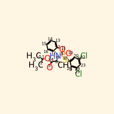 CC(C)OC(=O)[C@H](C)N[P@](=O)(Oc1ccccc1)Sc1cc(Cl)cc(Cl)c1